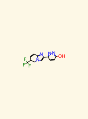 Oc1ccc(-c2cn3c(n2)C=CC(C(F)(F)F)C3)nn1